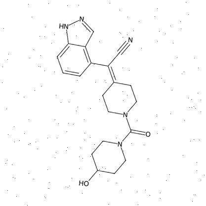 N#CC(=C1CCN(C(=O)N2CCC(O)CC2)CC1)c1cccc2[nH]ncc12